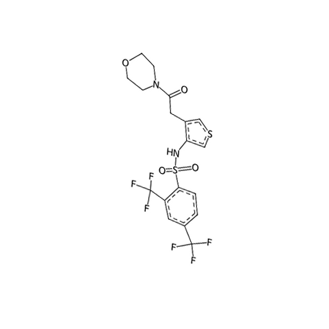 O=C(Cc1cscc1NS(=O)(=O)c1ccc(C(F)(F)F)cc1C(F)(F)F)N1CCOCC1